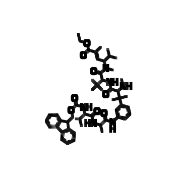 CCOC(=O)/C(C)=C/C(C(C)C)N(C)C(=O)C(NC(=O)C(NC)C(C)(C)c1cccc(NC(=O)C(C)NC(=O)C(NC(=O)OCC2c3ccccc3-c3ccccc32)C(C)C)c1)C(C)(C)C